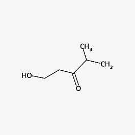 CC(C)C(=O)CCO